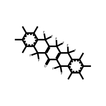 Cc1c(C)c(C)c2c(c1C)C(F)(F)C1=C(C(F)(F)C3=C(C1=O)C(F)(F)c1c(C)c(C)c(C)c(C)c1C3(F)F)C2(F)F